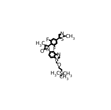 Cc1ncc(-c2cc(F)c(C3[C@@H](C)C(=O)N3c3ccc4c(c3)ncn4COCC[Si](C)(C)C)c(F)c2)s1